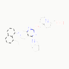 CCc1cccc2cccc(N3CCc4c(nc(OC[C@]56CCCN5[C@@H](CO)CC6)nc4N4CC5CCC(C5)C4)C3)c12